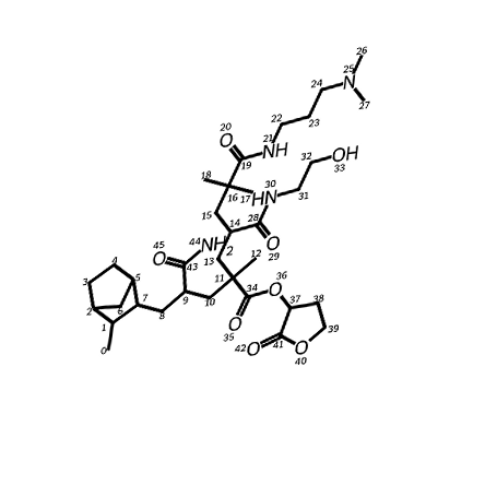 CC1C2CCC(C2)C1CC(CC(C)(CC(CC(C)(C)C(=O)NCCCN(C)C)C(=O)NCCO)C(=O)OC1CCOC1=O)C(N)=O